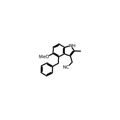 COc1ccc2[nH]c(C)c(CC#N)c2c1Cc1ccccc1